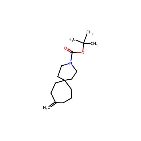 C=C1CCCC2(CC1)CCN(C(=O)OC(C)(C)C)CC2